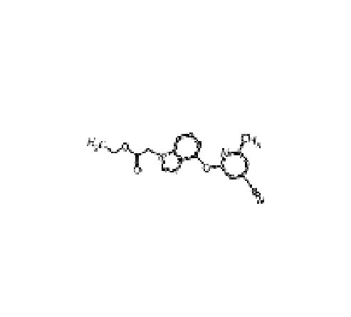 CCOC(=O)Cn1ccc2c(Oc3cc(C#N)cc(C)n3)cccc21